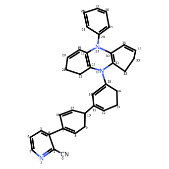 N#Cc1ncccc1C1=CCC(C2=CCCC(N3C4=C(C=CCC4)N(c4ccccc4)C4=C3CCC=C4)=C2)C=C1